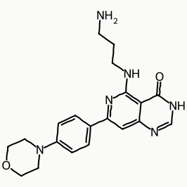 NCCCNc1nc(-c2ccc(N3CCOCC3)cc2)cc2nc[nH]c(=O)c12